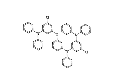 Clc1cc(Oc2cccc(N(c3ccccc3)c3cc(Cl)cc(N(c4ccccc4)c4ccccc4)c3)c2)cc(N(c2ccccc2)c2ccccc2)c1